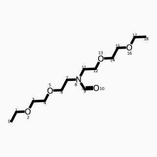 CCOCCOCCN([C]=O)CCOCCOCC